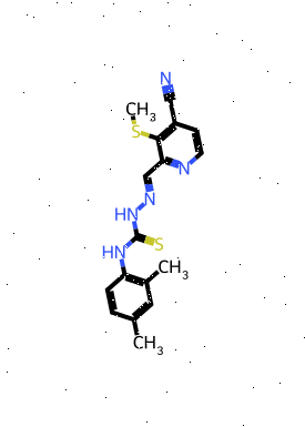 CSc1c(C#N)ccnc1/C=N/NC(=S)Nc1ccc(C)cc1C